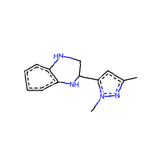 Cc1cc(C2CNc3ccccc3N2)n(C)n1